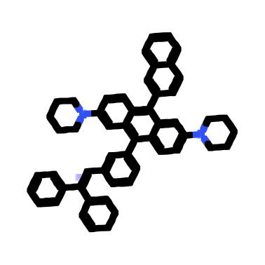 C1=CC(/C(=C\c2cccc(-c3c4ccc(N5CCCCC5)cc4c(-c4ccc5ccccc5c4)c4ccc(N5CCCCC5)cc34)c2)c2ccccc2)=CCC1